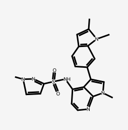 Cc1cc2ccc(-c3cn(C)c4nccc(NS(=O)(=O)c5ccn(C)n5)c34)cc2n1C